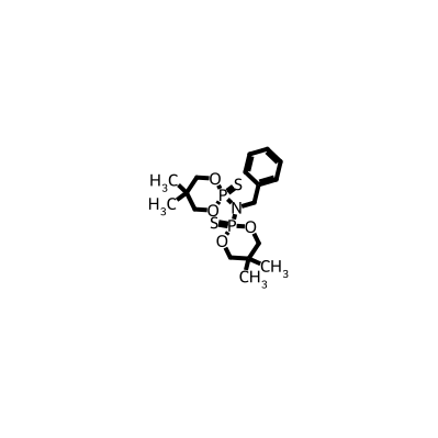 CC1(C)COP(=S)(N(Cc2ccccc2)P2(=S)OCC(C)(C)CO2)OC1